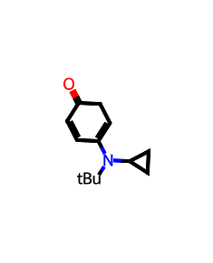 CC(C)(C)N(C1=CCC(=O)C=C1)C1CC1